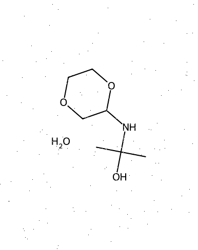 CC(C)(O)NC1COCCO1.O